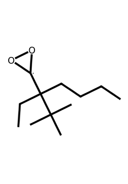 CCCCC(CC)([C]1OO1)C(C)(C)C